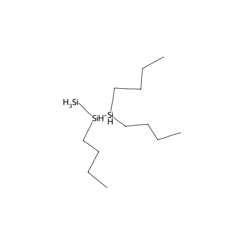 CCCC[SiH]([SiH3])[SiH](CCCC)CCCC